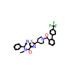 CCN(C(=O)c1csc(C2CCN(C(=O)c3ccccc3-c3ccc(C(F)(F)F)cc3)CC2)n1)C(C#N)c1ccccc1